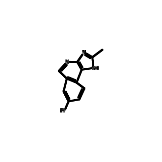 Cc1nc2ncc3cc(C(C)C)ccc3c2[nH]1